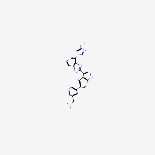 Cc1cn(-c2nccc3[nH]c(-c4n[nH]c5ncc(-c6cncc(CN(C)C)c6)c(F)c45)nc23)cn1